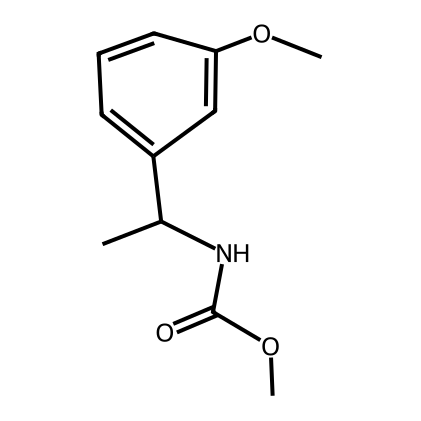 COC(=O)NC(C)c1cccc(OC)c1